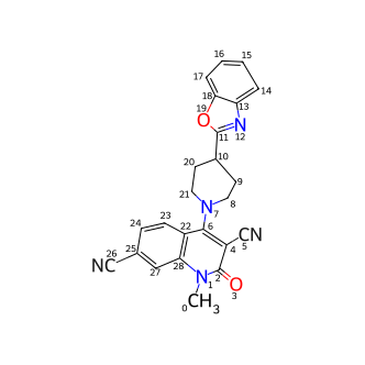 Cn1c(=O)c(C#N)c(N2CCC(c3nc4ccccc4o3)CC2)c2ccc(C#N)cc21